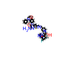 Nc1nc2sc(CNCC3CCN(C[C@](O)(Cn4cncn4)c4ccc(F)cc4F)CC3)cc2n(-c2ccc3c(c2)N(c2ccccc2)CCO3)c1=O